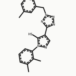 Cc1cccc(Cn2nnc(-c3cnn(-c4cccc(C)c4C)c3S)n2)c1